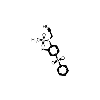 C#CCN(c1ccc(S(=O)(=O)c2ccccc2)cc1F)S(C)(=O)=O